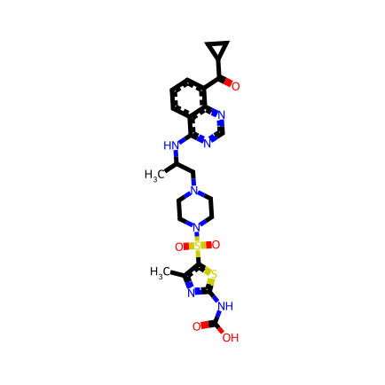 Cc1nc(NC(=O)O)sc1S(=O)(=O)N1CCN(CC(C)Nc2ncnc3c(C(=O)C4CC4)cccc23)CC1